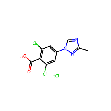 Cc1ncn(-c2cc(Cl)c(C(=O)O)c(Cl)c2)n1.Cl